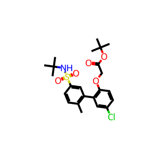 Cc1ccc(S(=O)(=O)NC(C)(C)C)cc1-c1cc(Cl)ccc1OCC(=O)OC(C)(C)C